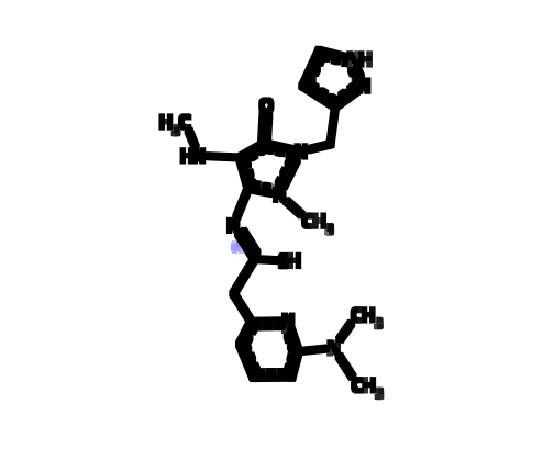 CNc1c(/N=C(\S)Cc2cccc(N(C)C)n2)n(C)n(Cc2cc[nH]n2)c1=O